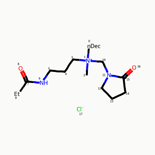 CCCCCCCCCC[N+](C)(CCCNC(=O)CC)CN1CCCC1=O.[Cl-]